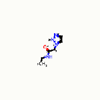 CCNC(=O)Cn1ccnn1